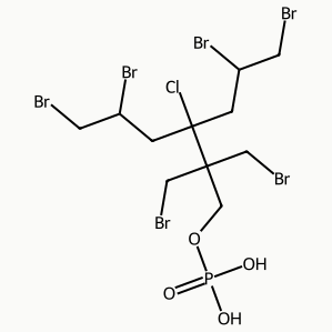 O=P(O)(O)OCC(CBr)(CBr)C(Cl)(CC(Br)CBr)CC(Br)CBr